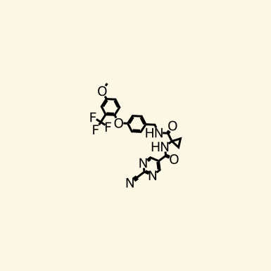 COc1ccc(Oc2ccc(CNC(=O)C3(NC(=O)c4cnc(C#N)nc4)CC3)cc2)c(C(F)(F)F)c1